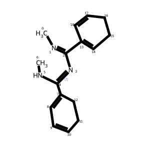 CN=C(/N=C(\NC)C1=CC=CCC1)C1=CCCC=C1